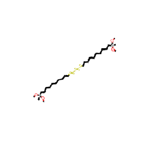 CO[Si](C)(CCCCCCCCCCSSSSSCCCCCCCCCC[Si](C)(OC)OC)OC